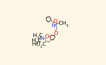 Cc1oc(-c2ccccc2)nc1CCOc1ccc(CC(C(=O)O)C(=O)N(C)C)cc1